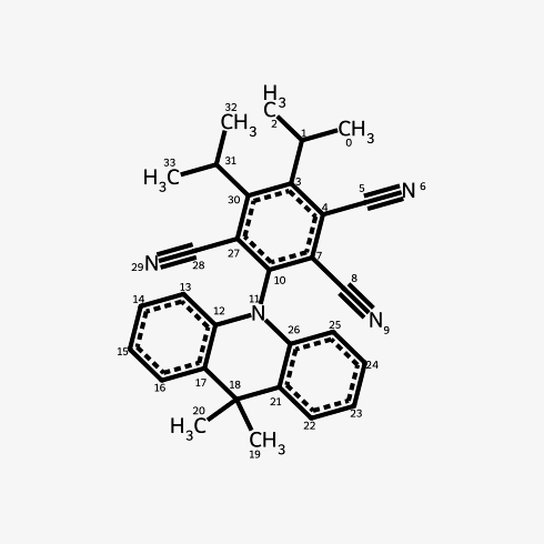 CC(C)c1c(C#N)c(C#N)c(N2c3ccccc3C(C)(C)c3ccccc32)c(C#N)c1C(C)C